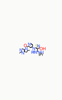 Cc1ncc2c(n1)CC(C)N2C(=O)c1cc(Nc2snc(O)c2C(=N)NC(C)C)ccn1